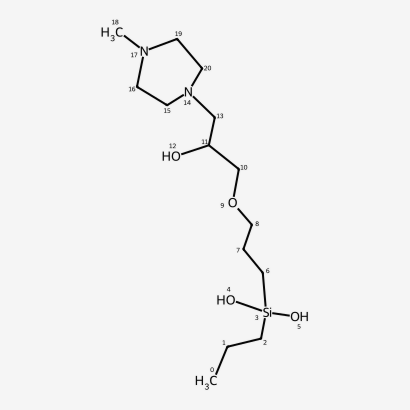 CCC[Si](O)(O)CCCOCC(O)CN1CCN(C)CC1